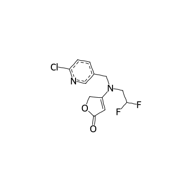 O=C1C=C(N(Cc2ccc(Cl)nc2)CC(F)F)CO1